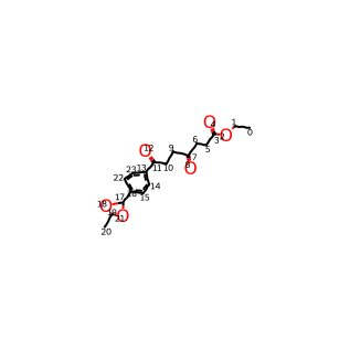 CCOC(=O)CCC(=O)CCC(=O)c1ccc(C2OC(C)O2)cc1